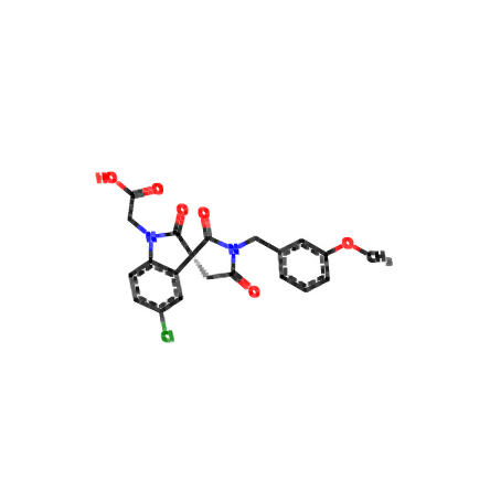 COc1cccc(CN2C(=O)C[C@@]3(C2=O)C(=O)N(CC(=O)O)c2ccc(Cl)cc23)c1